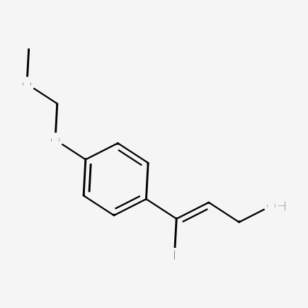 COCOc1ccc(/C(I)=C/CO)cc1